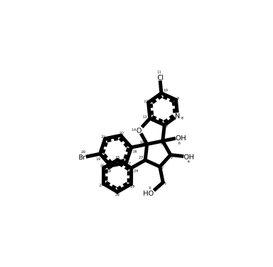 OCC1C(O)C2(O)c3ncc(Cl)cc3OC2(c2ccc(Br)cc2)C1c1ccccc1